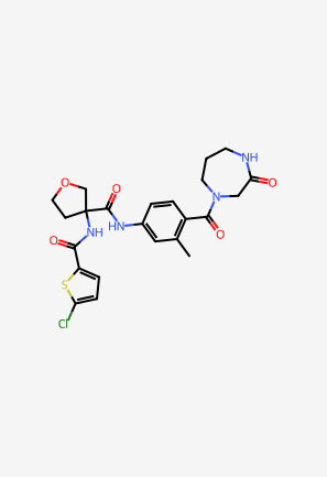 Cc1cc(NC(=O)C2(NC(=O)c3ccc(Cl)s3)CCOC2)ccc1C(=O)N1CCCNC(=O)C1